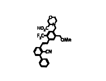 COCc1cc(C=Cc2cccc(-c3ccccc3)c2C#N)c(C(F)(F)F)cc1CN1CCOCC1C(=O)O